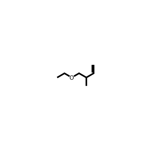 C=CC(C)COCC